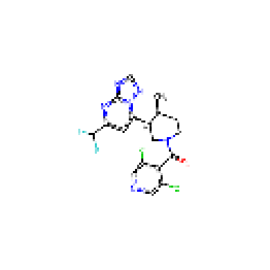 CC1CCN(C(=O)c2c(Cl)cncc2Cl)C[C@H]1c1cc(C(F)F)nc2ncnn12